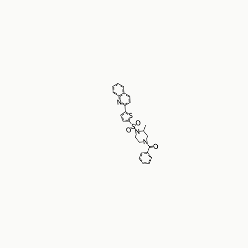 CC1CN(C(=O)c2ccccc2)CCN1S(=O)(=O)c1ccc(-c2ccc3ccccc3n2)s1